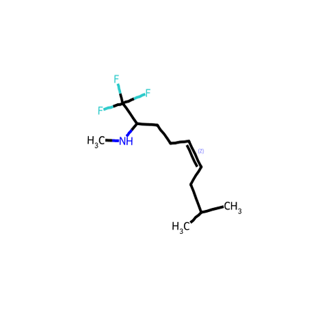 CNC(CC/C=C\CC(C)C)C(F)(F)F